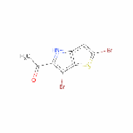 CC(=O)c1[nH]c2cc(Br)sc2c1Br